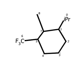 CC(C)C1C[CH]CC(C(F)(F)F)C1C